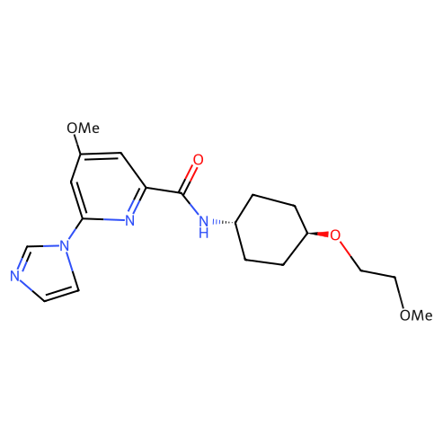 COCCO[C@H]1CC[C@H](NC(=O)c2cc(OC)cc(-n3ccnc3)n2)CC1